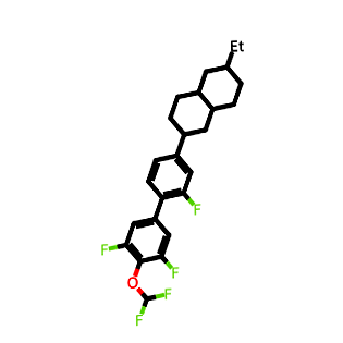 CCC1CCC2CC(c3ccc(-c4cc(F)c(OC(F)F)c(F)c4)c(F)c3)CCC2C1